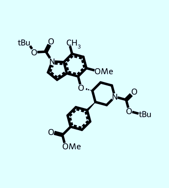 COC(=O)c1ccc([C@@H]2CN(C(=O)OC(C)(C)C)CC[C@H]2Oc2c(OC)cc(C)c3c2ccn3C(=O)OC(C)(C)C)cc1